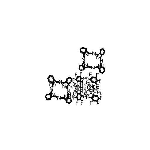 C[Si](C)(O[Si](C)(C)c1c(F)c(F)c(F)c(F)c1F)c1c(F)c(F)c(F)c(F)c1F.C[Si](C)(O[Si](C)(C)c1c(F)c(F)c(F)c(F)c1F)c1c(F)c(F)c(F)c(F)c1F.c1ccc2c(c1)-c1nc-2nc2[nH]c(nc3nc(nc4[nH]c(n1)c1ccccc41)-c1ccccc1-3)c1ccccc21.c1ccc2c(c1)-c1nc-2nc2[nH]c(nc3nc(nc4[nH]c(n1)c1ccccc41)-c1ccccc1-3)c1ccccc21